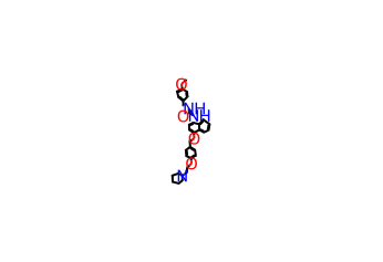 COc1ccc(CNC(=O)Nc2ccc(OCc3ccc(OCCN4CCCCC4)cc3)c3ccccc23)cc1